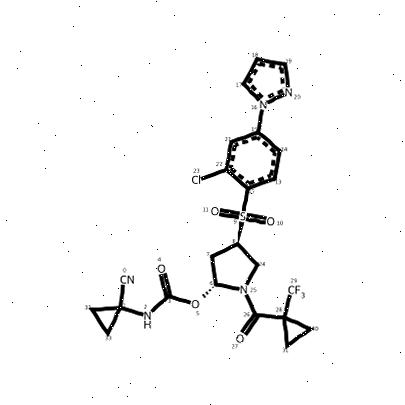 N#CC1(NC(=O)O[C@@H]2C[C@@H](S(=O)(=O)c3ccc(-n4cccn4)cc3Cl)CN2C(=O)C2(C(F)(F)F)CC2)CC1